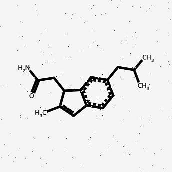 CC1=Cc2ccc(CC(C)C)cc2C1CC(N)=O